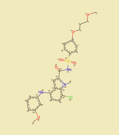 COCCCOc1ccc(S(=O)(=O)NC(=O)c2cc3c(Nc4cccc(OC)c4)ccc(Cl)c3n2C)cc1